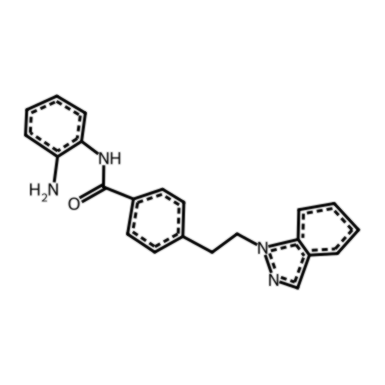 Nc1ccccc1NC(=O)c1ccc(CCn2ncc3ccccc32)cc1